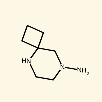 NN1CCNC2(CCC2)C1